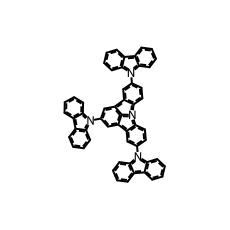 c1ccc2c(c1)c1ccccc1n2-c1ccc2c(c1)c1cc(-n3c4ccccc4c4ccccc43)cc3c4cc(-n5c6ccccc6c6ccccc65)ccc4n2c13